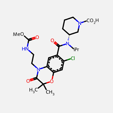 COC(=O)NCCN1C(=O)C(C)(C)Oc2cc(Cl)c(C(=O)N(C(C)C)[C@@H]3CCCN(C(=O)O)C3)cc21